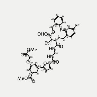 CC[C@H]([C@@H](CCc1ccc(F)cc1F)C(=O)NCNC(=O)c1ccc(-c2cc(OCC(=O)OC)cc(C(=O)OC)c2)o1)N(C=O)OCc1ccccc1